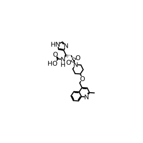 Cc1cc(COC2CCN(S(=O)(=O)C[C@H](NC(=O)O)c3c[nH]cn3)CC2)c2ccccc2n1